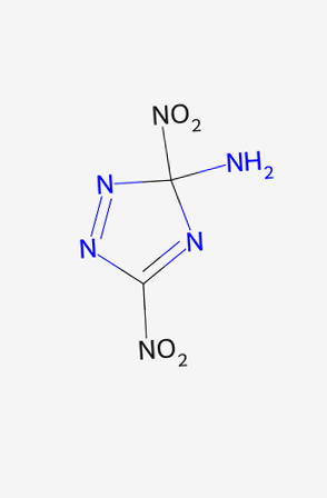 NC1([N+](=O)[O-])N=NC([N+](=O)[O-])=N1